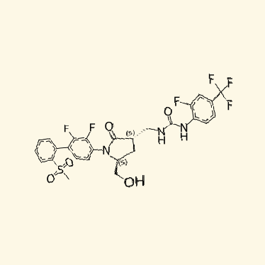 CS(=O)(=O)c1ccccc1-c1ccc(N2C(=O)[C@H](CNC(=O)Nc3ccc(C(F)(F)F)cc3F)C[C@H]2CO)c(F)c1F